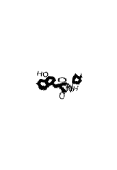 O=C1NN(c2ccc(I)cc2)C(=O)/C1=C\c1ccc(O)c2ccccc12